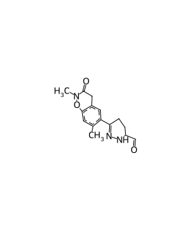 Cc1cc2c(cc1C1=NNC(C=O)CC1)CC(=O)N(C)O2